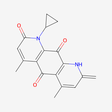 C=C1C=C(C)C2=C(N1)C(=O)c1c(c(C)cc(=O)n1C1CC1)C2=O